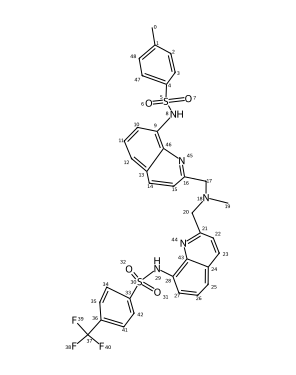 Cc1ccc(S(=O)(=O)Nc2cccc3ccc(CN(C)Cc4ccc5cccc(NS(=O)(=O)c6ccc(C(F)(F)F)cc6)c5n4)nc23)cc1